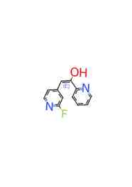 O/C(=C/c1ccnc(F)c1)c1ccccn1